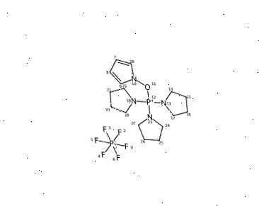 F[P-](F)(F)(F)(F)F.c1ccn(O[P+](N2CCCC2)(N2CCCC2)N2CCCC2)c1